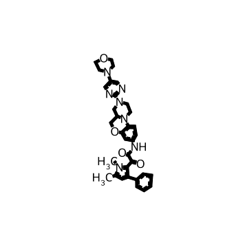 Cc1cc(-c2ccccc2)c(C(=O)C(=O)Nc2ccc3c(c2)OCC2CN(c4ncc(N5CCOCC5)cn4)CCN32)n1C